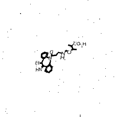 CCC1C(=N)c2ccccc2CN(C(=O)CCNCOC(C)[C@@H](C)C(=O)O)c2ccccc21